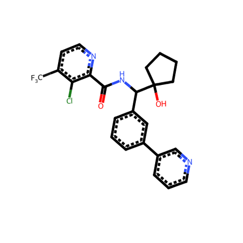 O=C(NC(c1cccc(-c2cccnc2)c1)C1(O)CCCC1)c1nccc(C(F)(F)F)c1Cl